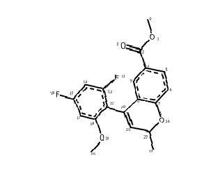 COC(=O)c1ccc2c(c1)C(c1c(F)cc(F)cc1OC)=CC(C)O2